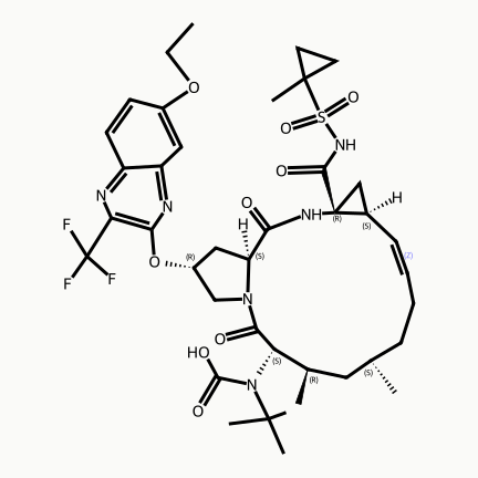 CCOc1ccc2nc(C(F)(F)F)c(O[C@@H]3C[C@H]4C(=O)N[C@]5(C(=O)NS(=O)(=O)C6(C)CC6)C[C@H]5/C=C\CC[C@H](C)C[C@@H](C)[C@H](N(C(=O)O)C(C)(C)C)C(=O)N4C3)nc2c1